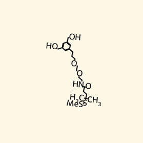 CSSC(C)(C)CCC(=O)NCCOCCOCCCc1cc(CO)cc(CO)c1